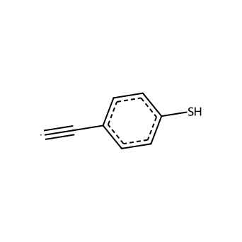 [C]#Cc1ccc(S)cc1